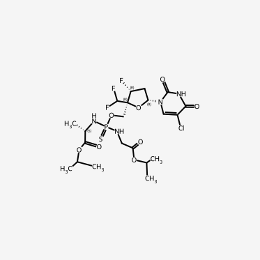 CC(C)OC(=O)CNP(=S)(N[C@@H](C)C(=O)OC(C)C)OC[C@@]1(C(F)F)O[C@@H](n2cc(Cl)c(=O)[nH]c2=O)C[C@H]1F